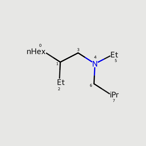 CCCCCCC(CC)CN(CC)CC(C)C